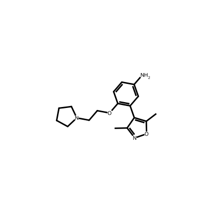 Cc1noc(C)c1-c1cc(N)ccc1OCCN1CCCC1